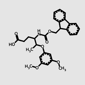 COc1cc(OC)cc(OC(C)C(CCC(=O)O)NC(=O)OCC2c3ccccc3-c3ccccc32)c1